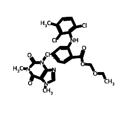 CCOCOC(=O)c1ccccc1Nc1c(Cl)ccc(C)c1Cl.Cn1c(=O)c2c(ncn2C)n(C)c1=O